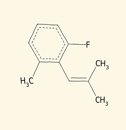 CC(C)=Cc1c(C)cccc1F